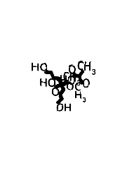 CC(=O)C(CCCCO)(CCCCO)C(=O)O.CCC(C(C)=O)C(=O)O